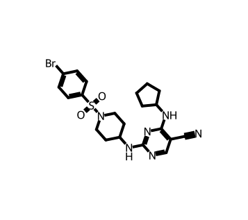 N#Cc1cnc(NC2CCN(S(=O)(=O)c3ccc(Br)cc3)CC2)nc1NC1CCCC1